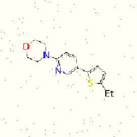 CCc1ccc(-c2ccc(N3CCOCC3)nc2)s1